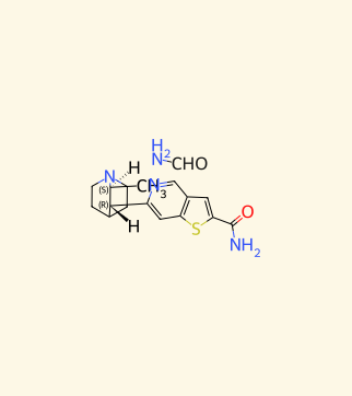 C[C@H]1[C@H](c2cc3sc(C(N)=O)cc3cn2)C2CCN1CC2.NC=O